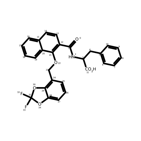 O=C(NC(Cc1ccccc1)C(=O)O)c1ccc2ccccc2c1OCc1cccc2c1OC(F)(F)O2